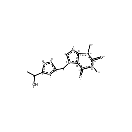 CC(O)c1nc(Cn2cnc3c2c(=O)n(C)c(=O)n3C)no1